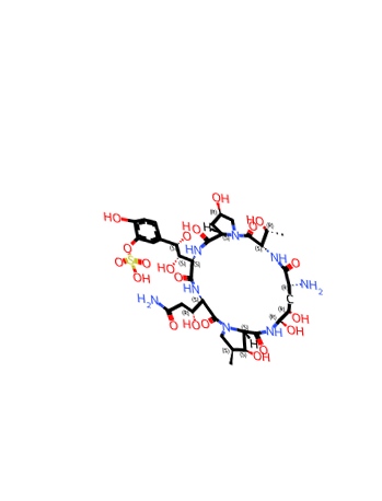 C[C@@H](O)[C@@H]1NC(=O)[C@H](N)C[C@@H](O)[C@@H](O)NC(=O)[C@@H]2[C@@H](O)[C@@H](C)CN2C(=O)[C@H]([C@H](O)CC(N)=O)NC(=O)[C@H]([C@H](O)[C@@H](O)c2ccc(O)c(OS(=O)(=O)O)c2)NC(=O)[C@@H]2C[C@@H](O)CN2C1=O